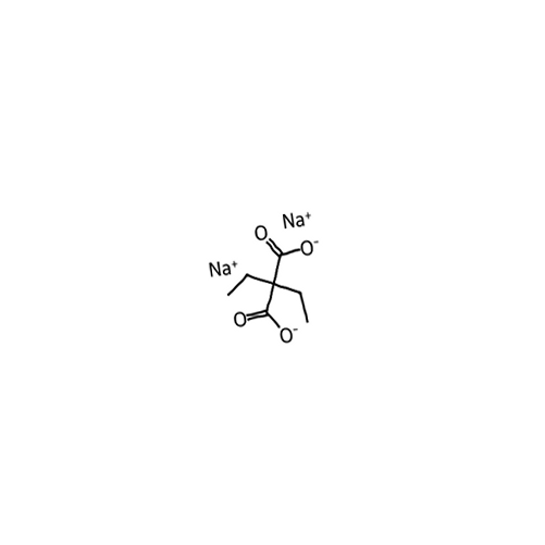 CCC(CC)(C(=O)[O-])C(=O)[O-].[Na+].[Na+]